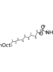 CCCCCCCCCCCCCCCCCOC([NH])=O